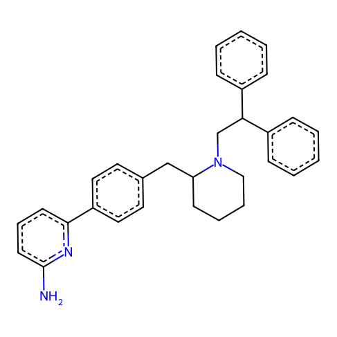 Nc1cccc(-c2ccc(CC3CCCCN3CC(c3ccccc3)c3ccccc3)cc2)n1